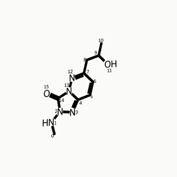 CNn1nc2ccc(CC(C)O)nn2c1=O